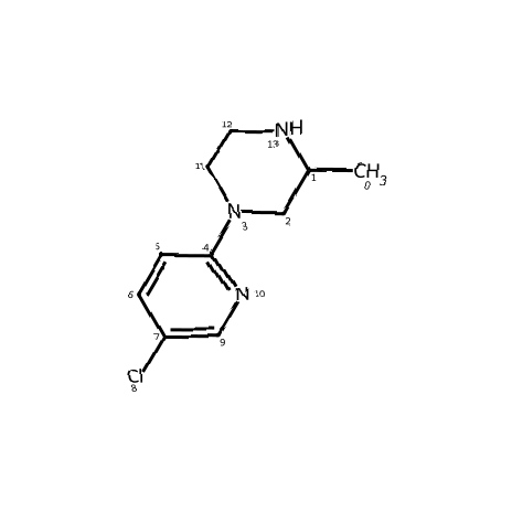 CC1CN(c2ccc(Cl)cn2)CCN1